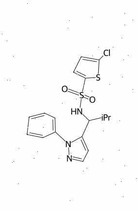 CC(C)C(NS(=O)(=O)c1ccc(Cl)s1)c1ccnn1-c1ccccc1